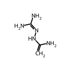 C=C(N)NN=C(N)N